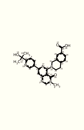 Cn1cnc2cc(-c3ccc(C(C)(C)O)nc3)nc(N3CCc4ccc(C(=O)O)cc4C3)c2c1=O